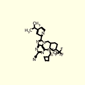 CC(C)c1ccnc(-c2nc3nc(C#N)nc(N[C@H](C)C4CCC4)c3n2CC2CCC(C(F)(F)F)CC2)c1